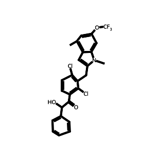 Cc1cc(OC(F)(F)F)cc2c1cc(Cc1c(Cl)ccc(C(=O)C(O)c3ccccc3)c1Cl)n2C